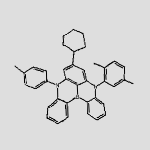 Cc1ccc(N2c3ccccc3B3c4ccccc4N(c4cc(C)ccc4C)c4cc(C5CCCCC5)cc2c43)cc1